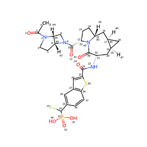 CC(=O)N1CC[C@@H]2[C@H]1CN2C(=O)[C@@H]1CC[C@@H]2C[C@H]3C[C@H]3C[C@H](NC(=O)c3cc4cc(C(F)P(=O)(O)O)ccc4s3)C(=O)N21